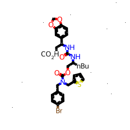 CCCCC(COC(=O)N(Cc1ccc(Br)cc1)Cc1cccs1)NC(=O)NC(CC(=O)O)c1ccc2c(c1)OCO2